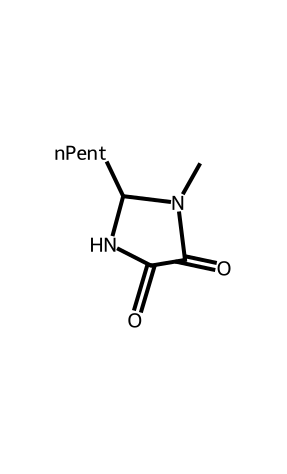 CCCCCC1NC(=O)C(=O)N1C